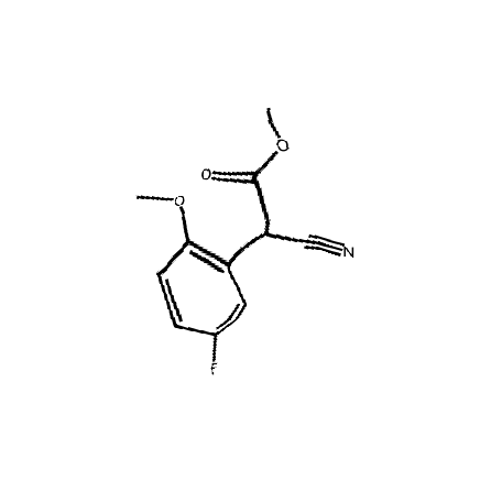 COC(=O)C(C#N)c1cc(F)ccc1OC